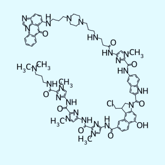 CN(C)CCCNC(=O)c1nc(NC(=O)c2nc(NC(=O)c3nc(NC(=O)c4ccc5c(O)cc6c(c5c4)C(CCl)CN6C(=O)c4cc5cc(NC(=O)c6nc(NC(=O)CCNCCCN7CCN(CCCNc8ccc9ncn%10c%11ccccc%11c(=O)c8c9%10)CC7)cn6C)ccc5[nH]4)cn3C)cn2C)cn1C